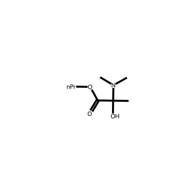 CCCOC(=O)C(C)(O)N(C)C